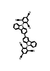 N#Cc1cc(C#N)c(-n2c3ccccc3c3cc(-c4ccc5c(c4)c4ccccc4n5-c4c(C#N)cc(C#N)cc4C#N)ccc32)c(C#N)c1